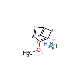 COc1ccc2cc1C2.Cl.N